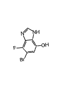 Oc1cc(Br)c(F)c2nc[nH]c12